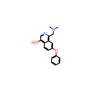 CN(C)Cc1ncc(O)c2ccc(Oc3ccccc3)cc12